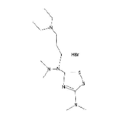 Br.CCN(CC)CCCN(C1N=C(N(C)C)SS1)N(C)C